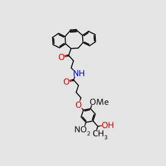 COc1cc(C(C)O)c([N+](=O)[O-])cc1OCCCC(=O)NCCC(=O)C1Cc2ccccc2C#Cc2ccccc21